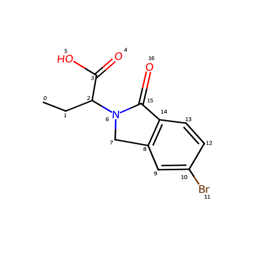 CCC(C(=O)O)N1Cc2cc(Br)ccc2C1=O